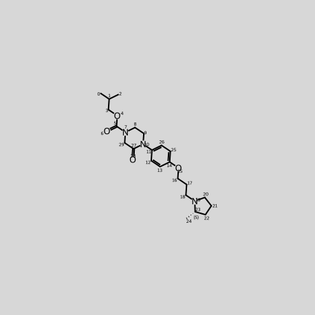 CC(C)COC(=O)N1CCN(c2ccc(OCCCN3CCC[C@@H]3C)cc2)C(=O)C1